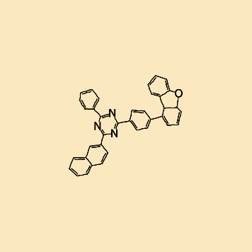 C1=CC2Oc3ccccc3C2C(c2ccc(-c3nc(-c4ccccc4)nc(-c4ccc5ccccc5c4)n3)cc2)=C1